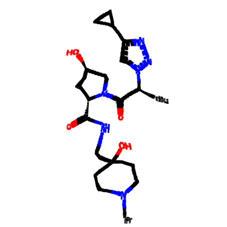 CC(C)N1CCC(O)(CNC(=O)[C@@H]2C[C@@H](O)CN2C(=O)[C@@H](n2cc(C3CC3)nn2)C(C)(C)C)CC1